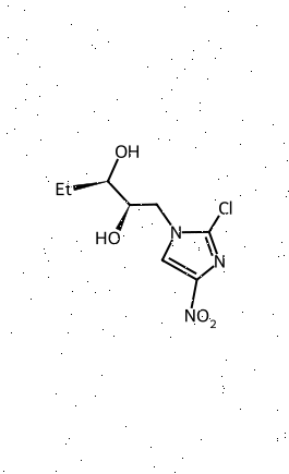 CC[C@@H](O)[C@H](O)Cn1cc([N+](=O)[O-])nc1Cl